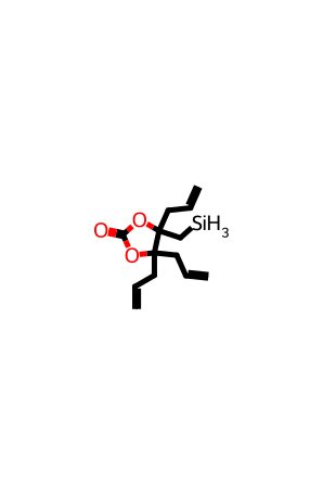 C=CCC1(C[SiH3])OC(=O)OC1(CC=C)CC=C